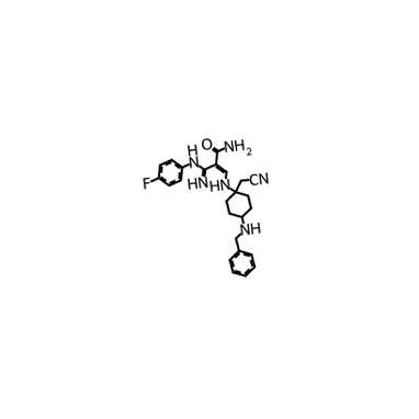 N#CCC1(N/C=C(\C(=N)Nc2ccc(F)cc2)C(N)=O)CCC(NCc2ccccc2)CC1